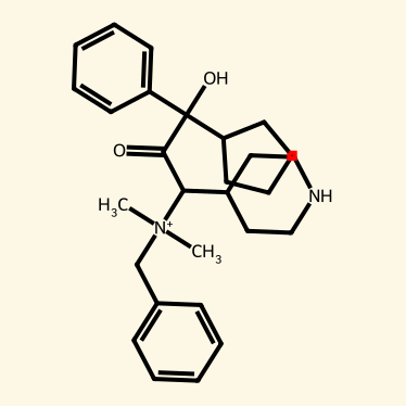 C[N+](C)(Cc1ccccc1)C(C(=O)C(O)(c1ccccc1)C1CCCC1)C1CCNCC1